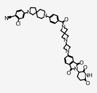 N#Cc1ccc(N2CCC3(CCN(c4ccc(C(=O)N5CC6(C5)CN(C5CN(c7ccc8c(c7)C(=O)N(C7CCC(=O)NC7=O)C8=O)C5)C6)cc4)CC3)C2)cc1Cl